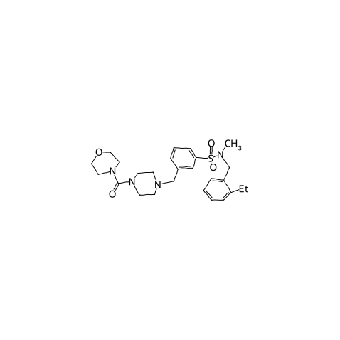 CCc1ccccc1CN(C)S(=O)(=O)c1cccc(CN2CCN(C(=O)N3CCOCC3)CC2)c1